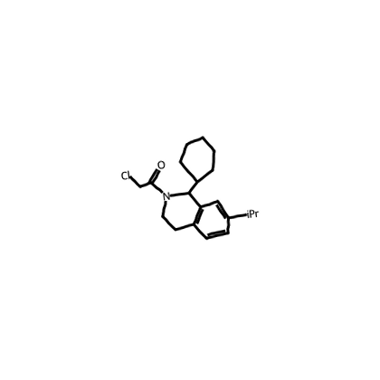 CC(C)c1ccc2c(c1)C(C1CCCCC1)N(C(=O)CCl)CC2